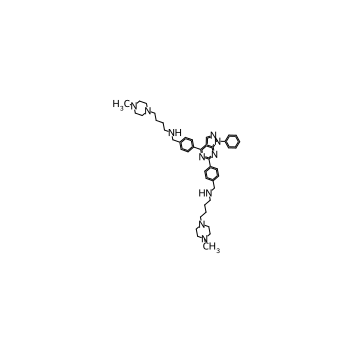 CN1CCN(CCCCNCc2ccc(-c3nc(-c4ccc(CNCCCCN5CCN(C)CC5)cc4)c4cnn(-c5ccccc5)c4n3)cc2)CC1